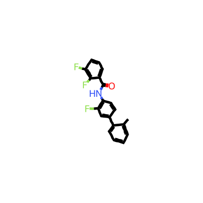 Cc1ccccc1-c1ccc(NC(=O)c2cccc(F)c2F)c(F)c1